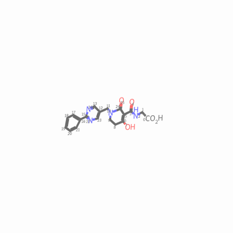 O=C(O)CNC(=O)C1=C(O)CCN(Cc2cnc(-c3ccccc3)nc2)C1=O